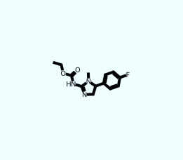 CCOC(=O)NC1=NCC(c2ccc(F)cc2)N1C